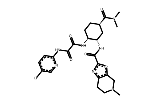 CN1CCc2nc(C(=O)N[C@H]3C[C@H](C(=O)N(C)C)CC[C@H]3NC(=O)C(=O)Nc3ccc(Cl)cn3)sc2C1